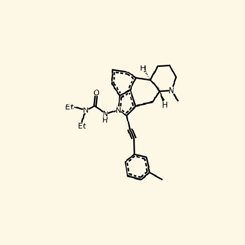 CCN(CC)C(=O)Nn1c(C#Cc2cccc(C)c2)c2c3c(cccc31)[C@H]1CCCN(C)[C@@H]1C2